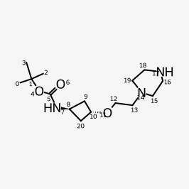 CC(C)(C)OC(=O)N[C@H]1C[C@H](OCCN2CCNCC2)C1